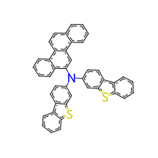 c1ccc2c(c1)ccc1c3ccccc3c(N(c3ccc4c(c3)sc3ccccc34)c3ccc4c(c3)sc3ccccc34)cc21